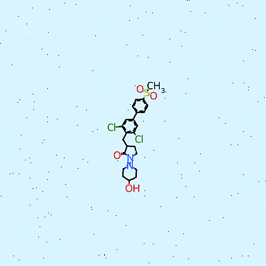 CS(=O)(=O)c1ccc(-c2cc(Cl)c(CC3CCN(N4CCC(O)CC4)C3=O)c(Cl)c2)cc1